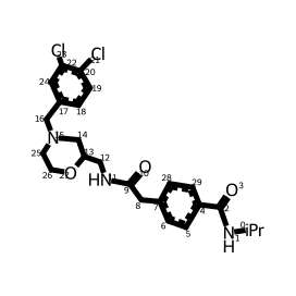 CC(C)NC(=O)c1ccc(CC(=O)NCC2CN(Cc3ccc(Cl)c(Cl)c3)CCO2)cc1